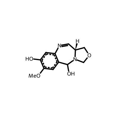 COc1cc2c(cc1O)N=C[C@@H]1COCN1C2O